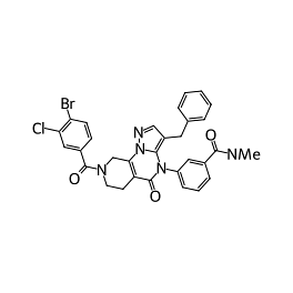 CNC(=O)c1cccc(-n2c(=O)c3c(n4ncc(Cc5ccccc5)c24)CN(C(=O)c2ccc(Br)c(Cl)c2)CC3)c1